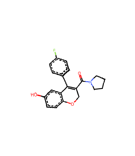 O=C(C1=C(c2ccc(F)cc2)c2cc(O)ccc2OC1)N1CCCC1